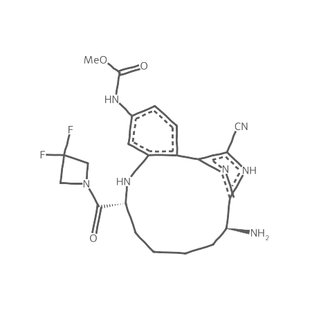 COC(=O)Nc1ccc2c(c1)N[C@@H](C(=O)N1CC(F)(F)C1)CCCC[C@H](N)c1nc-2c(C#N)[nH]1